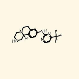 FC(F)(F)c1ccnc(Nc2ccc3c(c2)CCN2CCNC[C@@H]32)n1